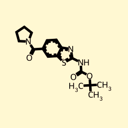 CC(C)(C)OC(=O)Nc1nc2ccc(C(=O)N3CCCC3)cc2s1